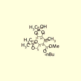 CCCCOC(OC)C(C1COC(C)(C)O1)[C@H](C)C1CO[C@@](C)(O)O1